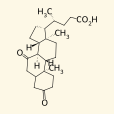 C[C@H](CCC(=O)O)[C@H]1CC[C@H]2[C@@H]3C(=O)CC4CC(=O)CC[C@]4(C)[C@H]3CC[C@]12C